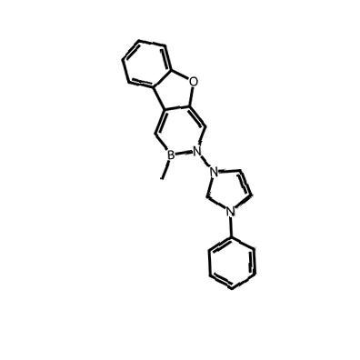 CB1C=c2c(oc3ccccc23)=CN1N1C=CN(c2ccccc2)C1